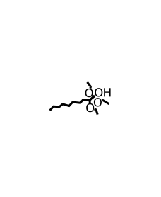 CCCCCCCCC(OCC)C(O)(OCC)OCC